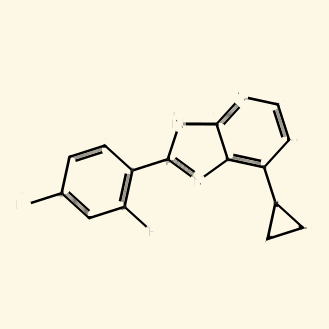 Fc1cc(Br)ccc1-c1nc2c(C3CC3)ccnc2[nH]1